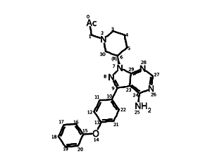 CC(=O)CN1CCC[C@@H](n2nc(-c3ccc(Oc4ccccc4)cc3)c3c(N)ncnc32)C1